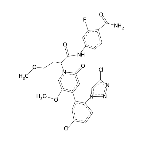 COCCC(C(=O)Nc1ccc(C(N)=O)c(F)c1)n1cc(OC)c(-c2cc(Cl)ccc2-n2cc(Cl)nn2)cc1=O